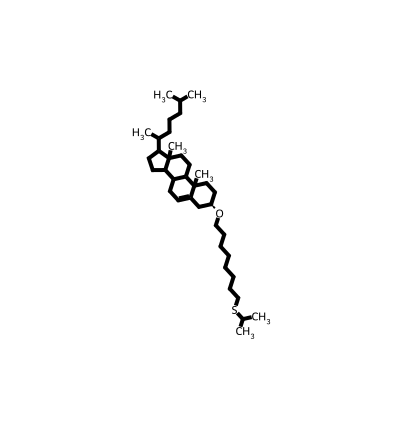 CC(C)CCCC(C)C1CCC2C3CC=C4C[C@@H](OCCCCCCCCSC(C)C)CCC4(C)C3CCC12C